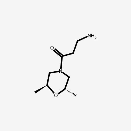 C[C@H]1CN(C(=O)CCN)C[C@H](C)O1